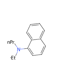 C[CH]N(CCC)c1cccc2ccccc12